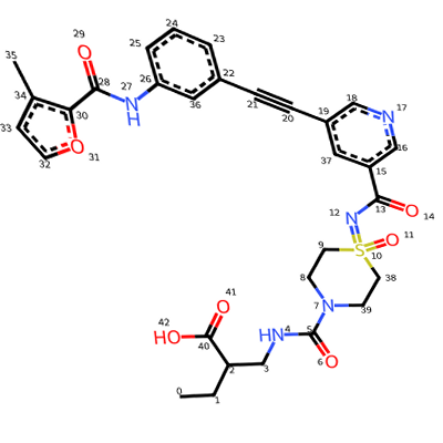 CCC(CNC(=O)N1CCS(=O)(=NC(=O)c2cncc(C#Cc3cccc(NC(=O)c4occc4C)c3)c2)CC1)C(=O)O